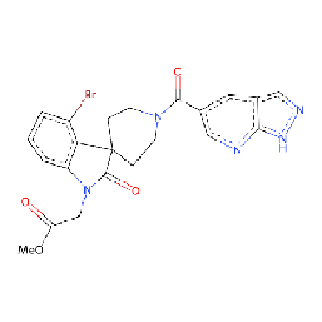 COC(=O)CN1C(=O)C2(CCN(C(=O)c3cnc4[nH]ncc4c3)CC2)c2c(Br)cccc21